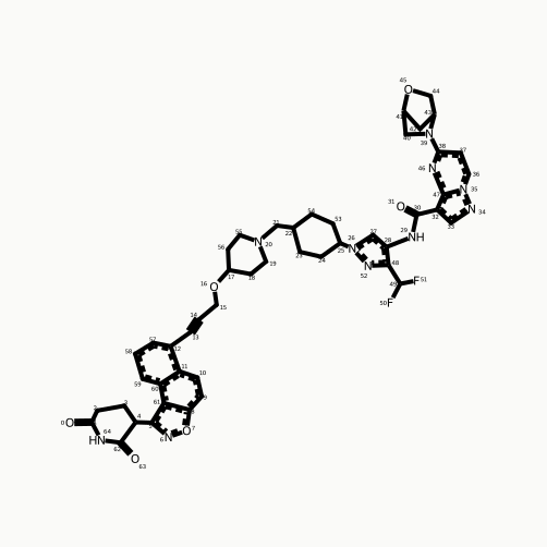 O=C1CCC(c2noc3ccc4c(C#CCOC5CCN(CC6CCC(n7cc(NC(=O)c8cnn9ccc(N%10CC%11CC%10CO%11)nc89)c(C(F)F)n7)CC6)CC5)cccc4c23)C(=O)N1